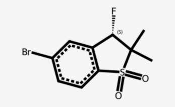 CC1(C)[C@@H](F)c2cc(Br)ccc2S1(=O)=O